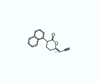 C#C/C=C1/CCC(c2cccc3ccccc23)C(=O)O1